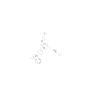 C[C@@H]1C[C@@H]1COc1nc(C(=O)NCC2CC2)nc(N2CCC(c3n[nH]c4ncccc34)CC2)n1